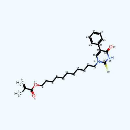 C=C(C)C(=O)OCCCCCCCCCCCn1cc(-c2ccccc2)c(=O)[nH]c1=S